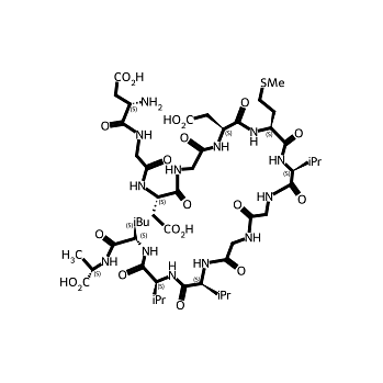 CC[C@H](C)[C@H](NC(=O)[C@@H](NC(=O)[C@@H](NC(=O)CNC(=O)CNC(=O)[C@@H](NC(=O)[C@H](CCSC)NC(=O)[C@H](CC(=O)O)NC(=O)CNC(=O)[C@H](CC(=O)O)NC(=O)CNC(=O)[C@@H](N)CC(=O)O)C(C)C)C(C)C)C(C)C)C(=O)N[C@@H](C)C(=O)O